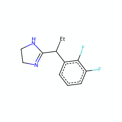 CCC(C1=NCCN1)c1cccc(F)c1F